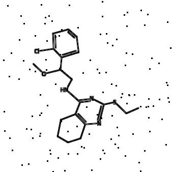 CCSc1nc2c(c(NCC(OC)c3ccccc3Cl)n1)CCCC2